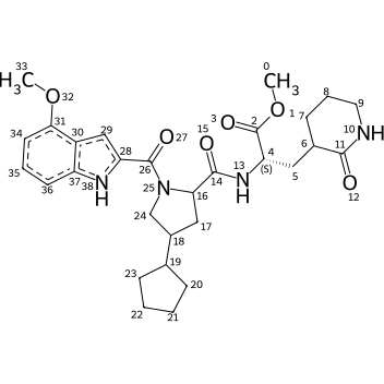 COC(=O)[C@H](CC1CCCNC1=O)NC(=O)C1CC(C2CCCC2)CN1C(=O)c1cc2c(OC)cccc2[nH]1